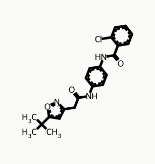 CC(C)(C)c1cc(CC(=O)Nc2ccc(NC(=O)c3ccccc3Cl)cc2)no1